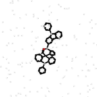 c1ccc(N2c3ccccc3C3(c4ccccc42)c2ccccc2N(c2ccc4c(c2)c2ncccc2n4-c2cccnc2)c2ccccc23)cc1